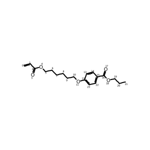 C=CC(=O)OCCCCCCOc1ccc(C(=O)OCCC)cc1